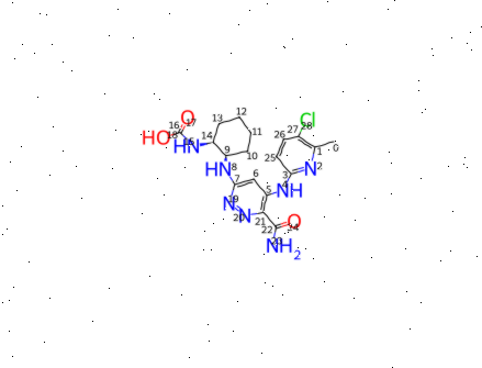 Cc1nc(Nc2cc(N[C@@H]3CCCC[C@@H]3NC(=O)O)nnc2C(N)=O)ccc1Cl